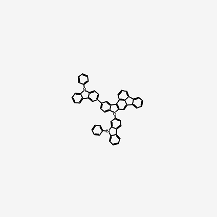 c1ccc(-n2c3ccccc3c3cc(-c4ccc5c(c4)c4c6cccc7c6c(cc4n5-c4ccc5c6ccccc6n(-c6ccccc6)c5c4)-c4ccccc4-7)ccc32)cc1